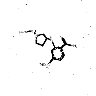 COBN1CCC(Nc2cc(C(=O)O)ccc2C(N)=O)C1